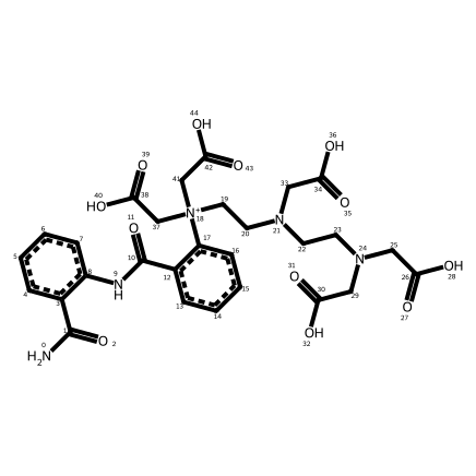 NC(=O)c1ccccc1NC(=O)c1ccccc1[N+](CCN(CCN(CC(=O)O)CC(=O)O)CC(=O)O)(CC(=O)O)CC(=O)O